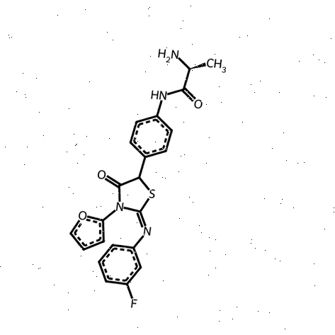 C[C@H](N)C(=O)Nc1ccc(C2SC(=Nc3cccc(F)c3)N(c3ccco3)C2=O)cc1